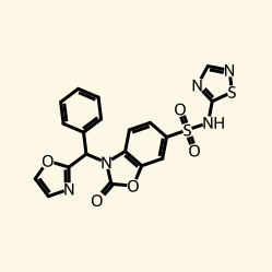 O=c1oc2cc(S(=O)(=O)Nc3ncns3)ccc2n1C(c1ccccc1)c1ncco1